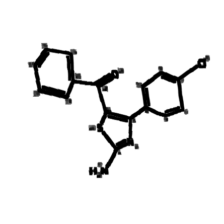 Nc1nc(-c2ccc(Cl)cc2)c(C(=O)c2ccccc2)s1